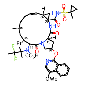 CC[C@@H]1C[C@H](C)CCC=C[C@@H]2C[C@@]2(C(=O)NS(=O)(=O)C2(C)CC2)NC(=O)[C@@H]2C[C@@H](Oc3ncc(OC)c4ccccc34)CN2C(=O)[C@H]1N(C(=O)O)C(C)(C)C(C)(F)F